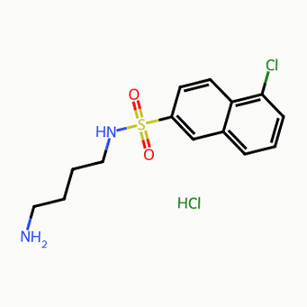 Cl.NCCCCNS(=O)(=O)c1ccc2c(Cl)cccc2c1